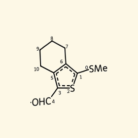 CSc1sc([C]=O)c2c1CCCC2